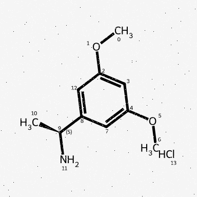 COc1cc(OC)cc([C@H](C)N)c1.Cl